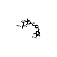 CCOc1c(F)cc(Cn2cc(CNc3nc(C)c4c(n3)N(C)[C@@H]([C@@H](C)OC)C(=O)N4)cn2)cc1F